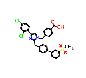 CS(=O)(=O)c1cccc(-c2ccc(Cc3nc(-c4ccc(Cl)cc4Cl)cn3Cc3ccc(C(=O)O)cc3)cc2)c1